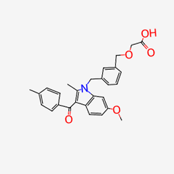 COc1ccc2c(C(=O)c3ccc(C)cc3)c(C)n(Cc3cccc(COCC(=O)O)c3)c2c1